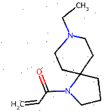 C=CC(=O)N1CCCC12CCN(CC)CC2